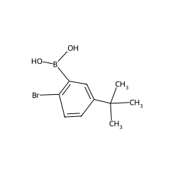 CC(C)(C)c1ccc(Br)c(B(O)O)c1